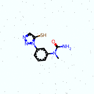 CN(C(N)=O)c1cccc(-n2nncc2S)c1